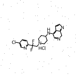 Cl.FC(F)(CN1CCC(NC2=C3C=CN=C3CN=C2)CC1)c1ccc(Cl)cn1